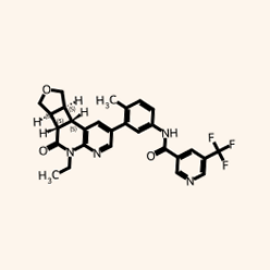 CCN1C(=O)[C@@H]2[C@H]3COC[C@H]3[C@@H]2c2cc(-c3cc(NC(=O)c4cncc(C(F)(F)F)c4)ccc3C)cnc21